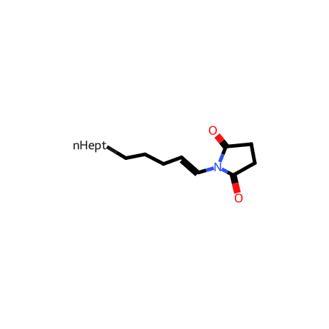 CCCCCCCCCCC=CN1C(=O)CCC1=O